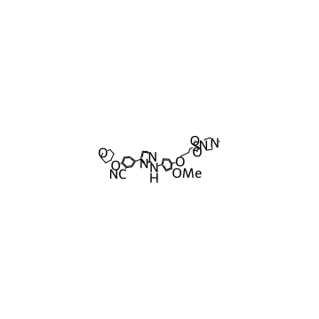 COc1cc(Nc2nccc(-c3ccc(OC4CCOCC4)c(C#N)c3)n2)ccc1OCCCS(=O)(=O)N1CCN(C)CC1